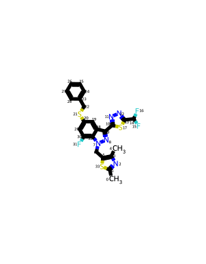 Cc1nc(C)c(Cn2nc(-c3nnc(C(F)F)s3)c3cc(SCc4ccccc4)cc(F)c32)s1